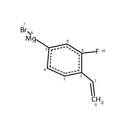 C=Cc1cc[c]([Mg][Br])cc1F